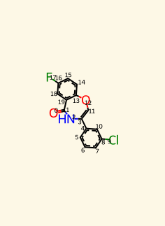 O=C1NC(c2cccc(Cl)c2)=COc2ccc(F)cc21